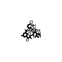 Cc1cc([C@@H](C)Nc2ccc(Cl)nc2C(=N)NO)c2oc(-c3ccc4c(cnn4C)n3)c(C)c(=O)c2c1